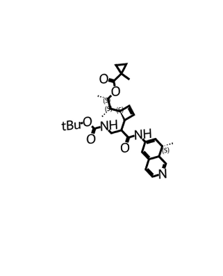 C[C@H]([C@H](C)OC(=O)C1(C)CC1)[C@H]1C=CC1C(CNC(=O)OC(C)(C)C)C(=O)NC1=C[C@H](C)C2C=NC=CC2=C1